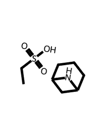 C1CC2CC(C1)N2.CCS(=O)(=O)O